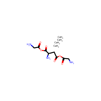 NCC(=O)OC(=O)CC(N)C(=O)OC(=O)CN.[CaH2].[CaH2].[CaH2].[CaH2]